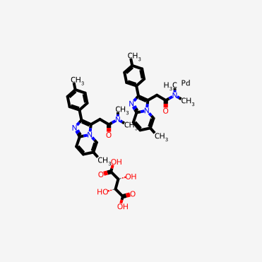 Cc1ccc(-c2nc3ccc(C)cn3c2CC(=O)N(C)C)cc1.Cc1ccc(-c2nc3ccc(C)cn3c2CC(=O)N(C)C)cc1.O=C(O)[C@H](O)[C@@H](O)C(=O)O.[Pd]